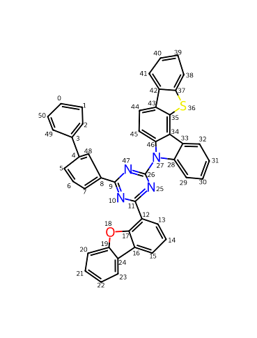 c1ccc(-c2cccc(-c3nc(-c4cccc5c4oc4ccccc45)nc(-n4c5ccccc5c5c6sc7ccccc7c6ccc54)n3)c2)cc1